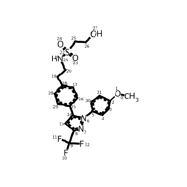 COc1ccc(-n2nc(C(F)(F)F)cc2-c2ccc(CCNS(=O)(=O)CCO)cc2)cc1